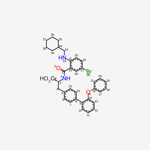 O=C(N[C@@H](Cc1ccc(-c2ccccc2Oc2ccccc2)cc1)C(=O)O)c1cc(Br)ccc1NCC1CCCCC1